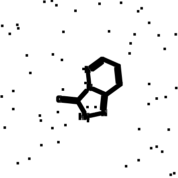 O=c1[nH]nc2cccnn12